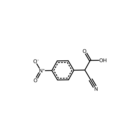 N#CC(C(=O)O)c1ccc([N+](=O)[O-])cc1